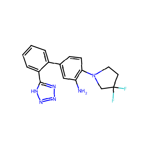 Nc1cc(-c2ccccc2-c2nnn[nH]2)ccc1N1CCC(F)(F)C1